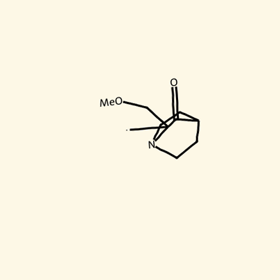 [CH2]C1(COC)C(=O)C2CCN1CC2